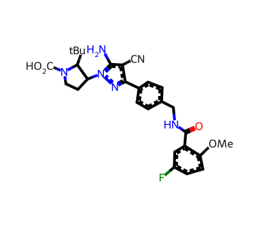 COc1ccc(F)cc1C(=O)NCc1ccc(-c2nn(C3CCN(C(=O)O)C3C(C)(C)C)c(N)c2C#N)cc1